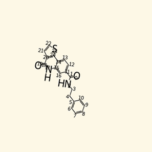 O=C(NCCc1ccccc1)c1ccc2c(c1)[nH]c(=O)c1ccsc12